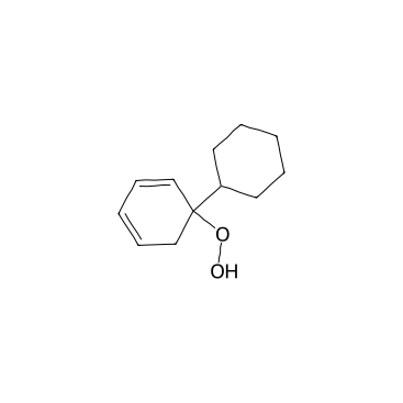 OOC1(C2CCCCC2)C=CC=CC1